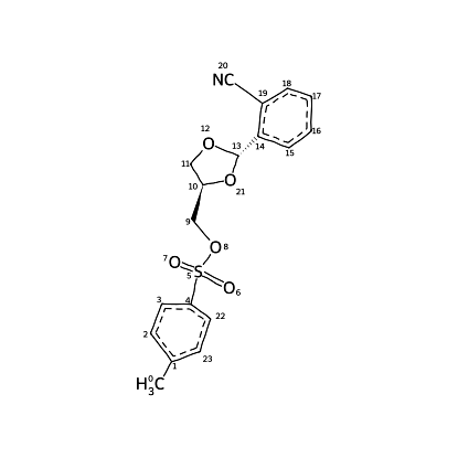 Cc1ccc(S(=O)(=O)OC[C@H]2CO[C@H](c3ccccc3C#N)O2)cc1